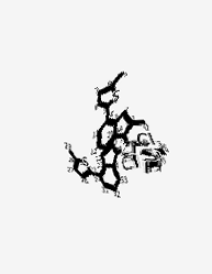 CC1=Cc2c(-c3ccc(C)s3)cccc2[CH]1[Zr]([Cl])([Cl])([CH]1C(C)=Cc2c(-c3ccc(C)s3)cccc21)[SiH](C)C